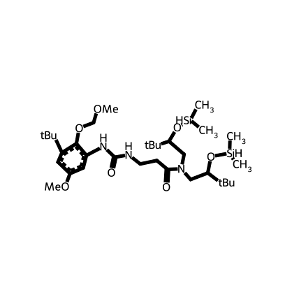 COCOc1c(NC(=O)NCCC(=O)N(CC(O[SiH](C)C)C(C)(C)C)CC(O[SiH](C)C)C(C)(C)C)cc(OC)cc1C(C)(C)C